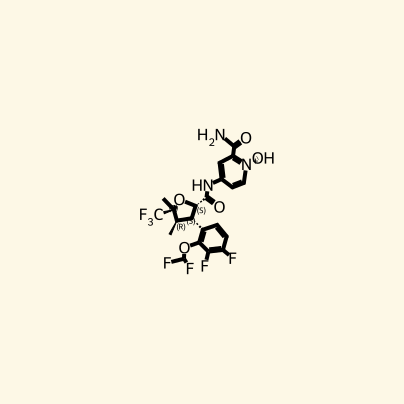 C[C@@H]1[C@@H](c2ccc(F)c(F)c2OC(F)F)[C@@H](C(=O)Nc2cc[n+](O)c(C(N)=O)c2)O[C@]1(C)C(F)(F)F